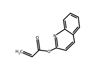 C=CC(=O)Oc1ccc2ccccc2n1